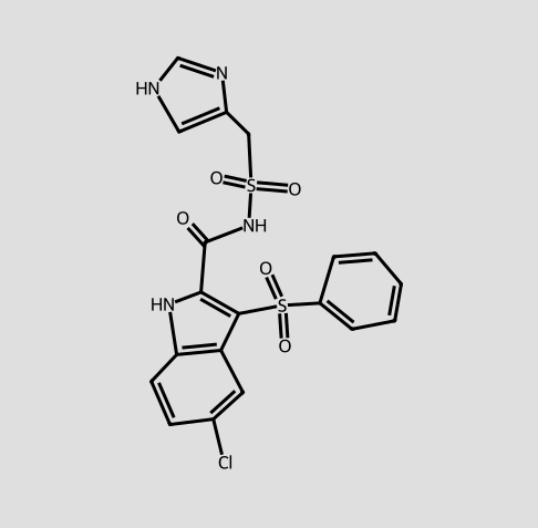 O=C(NS(=O)(=O)Cc1c[nH]cn1)c1[nH]c2ccc(Cl)cc2c1S(=O)(=O)c1ccccc1